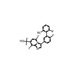 CC(C)(O)c1cc(F)n2c(-c3ccc(F)c(-c4c(F)cccc4C#N)c3)cnc2c1F